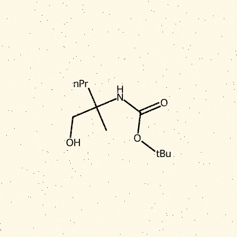 CCCC(C)(CO)NC(=O)OC(C)(C)C